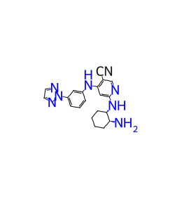 N#Cc1cnc(N[C@@H]2CCCC[C@@H]2N)cc1Nc1cccc(-n2nccn2)c1